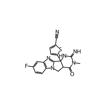 CN1C(=N)NC2(c3ccc(C#N)s3)c3nc4cc(F)ccc4n3CC2C1=O